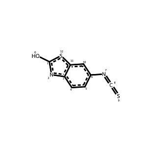 Oc1nc2ccc(N=C=S)cc2s1